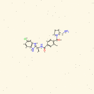 Cc1cc(C(=O)N[C@@H](C)c2nc3cc(Cl)ccc3[nH]2)ccc1C(=O)N1CCC[C@@H]1CN